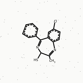 CC1=Nc2ccc(Cl)cc2C(c2ccccc2)=NC1S